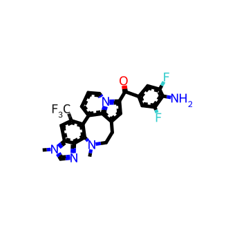 CN1CCc2cc(C(=O)c3cc(F)c(N)c(F)c3)n3cccc(c23)-c2c(C(F)(F)F)cc3c(ncn3C)c21